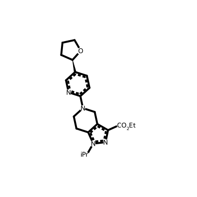 CCOC(=O)c1nn(C(C)C)c2c1CN(c1ccc([C@H]3CCCO3)cn1)CC2